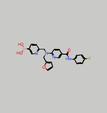 O=C(Nc1ccc(F)cc1)c1ccc(N(Cc2ccc(B(O)O)cn2)Cc2ccco2)nc1